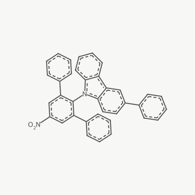 O=[N+]([O-])c1cc(-c2ccccc2)c(-n2c3ccccc3c3cc(-c4ccccc4)ccc32)c(-c2ccccc2)c1